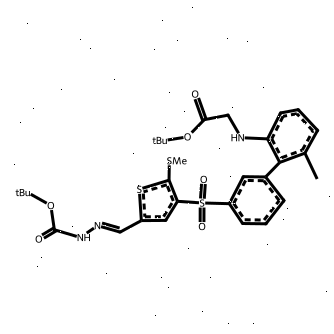 CSc1sc(C=NNC(=O)OC(C)(C)C)cc1S(=O)(=O)c1cccc(-c2c(C)cccc2NCC(=O)OC(C)(C)C)c1